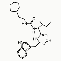 CCC(C)[C@H](NC(=O)NCCC1CCCCC1)C(=O)N[C@H](CO)Cc1c[nH]c2ccccc12